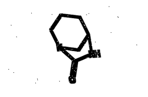 O=C1NC2CCCN1C2